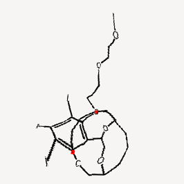 COCCOCCOc1c(C2OC3CCCCCCCC(CCC3)O2)cc(I)c(I)c1I